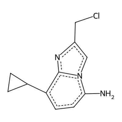 Nc1ccc(C2CC2)c2nc(CCl)cn12